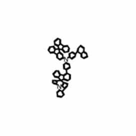 c1ccc2c(c1)-c1ccccc1C21c2ccccc2-c2ccc(N(c3ccc(-c4cccc5c4-c4ccccc4C54c5ccccc5-n5c6ccccc6c6cccc4c65)cc3)c3ccc(-c4cccc5ccccc45)cc3)cc21